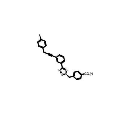 O=C(O)c1ccc(Cn2nnc(-c3cccc(C#CCc4ccc(F)cc4)c3)n2)cc1